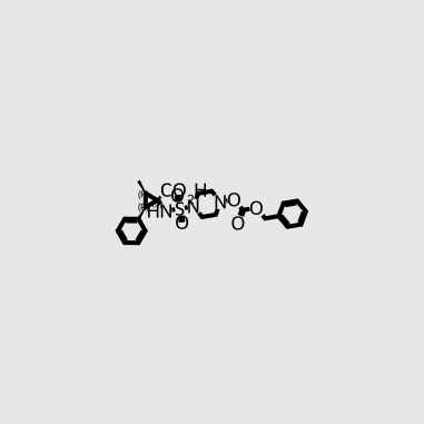 C[C@@H]1[C@H](c2ccccc2)[C@]1(NS(=O)(=O)N1CCN(OC(=O)OCc2ccccc2)CC1)C(=O)O